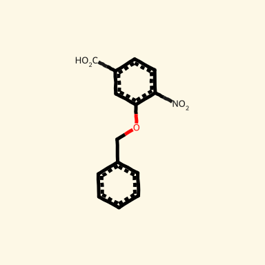 O=C(O)c1ccc([N+](=O)[O-])c(OCc2ccccc2)c1